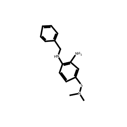 CN(C)Sc1ccc(NCc2ccccc2)c(N)c1